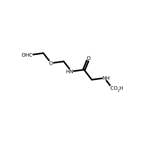 O=CCOCNC(=O)CNC(=O)O